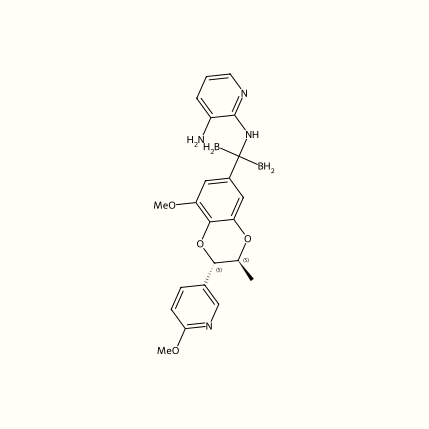 BC(B)(Nc1ncccc1N)c1cc(OC)c2c(c1)O[C@@H](C)[C@H](c1ccc(OC)nc1)O2